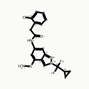 NSc1cc(NC(=O)Cc2ccccc2Cl)cc2nn(C(F)(F)C3CC3)cc12